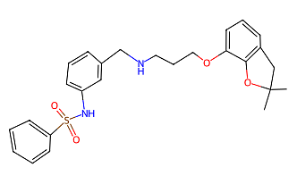 CC1(C)Cc2cccc(OCCCNCc3cccc(NS(=O)(=O)c4ccccc4)c3)c2O1